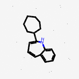 C1=Cc2ccccc2NC([C]2CCCCCC2)=C1